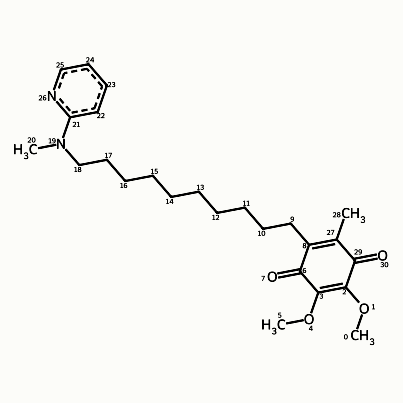 COC1=C(OC)C(=O)C(CCCCCCCCCCN(C)c2ccccn2)=C(C)C1=O